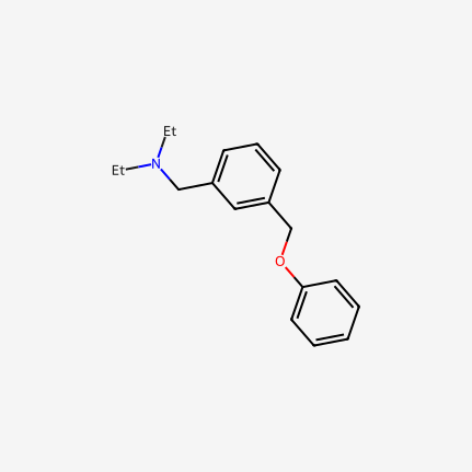 CCN(CC)Cc1cccc(COc2ccccc2)c1